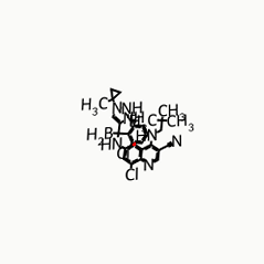 BC(Nc1cc(Cl)c2ncc(C#N)c(NCC(C)(C)C)c2c1)(C1=CN(C2(C)CC2)NN1)c1c(F)cccc1Cl